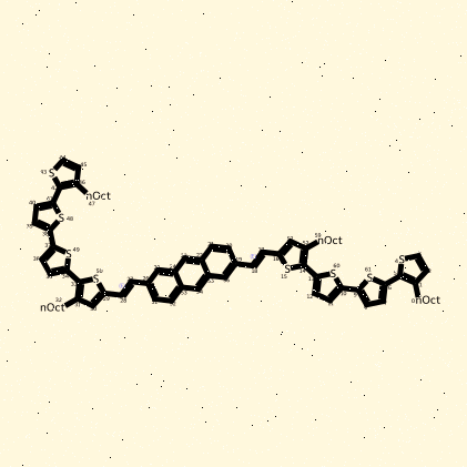 CCCCCCCCc1ccsc1-c1ccc(-c2ccc(-c3sc(/C=C/c4ccc5cc6cc(/C=C/c7cc(CCCCCCCC)c(-c8ccc(-c9ccc(-c%10sccc%10CCCCCCCC)s9)s8)s7)ccc6cc5c4)cc3CCCCCCCC)s2)s1